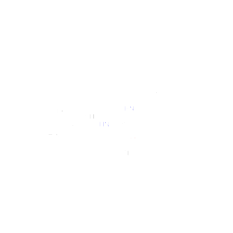 Cc1cccc(C(C)(C)C)c1NC(=O)NCC1(c2ccccc2)CCCC1